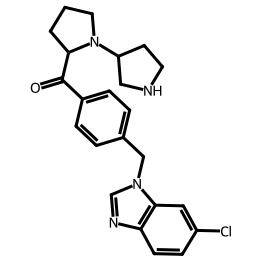 O=C(c1ccc(Cn2cnc3ccc(Cl)cc32)cc1)C1CCCN1C1CCNC1